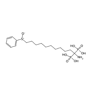 NC(CCCCCCCCCC[S+]([O-])c1ccccc1)(P(=O)(O)O)P(=O)(O)O